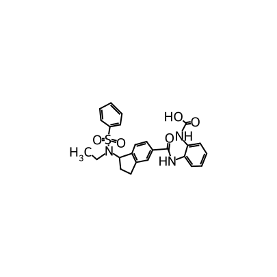 CCN(C1CCc2cc(C(=O)Nc3ccccc3NC(=O)O)ccc21)S(=O)(=O)c1ccccc1